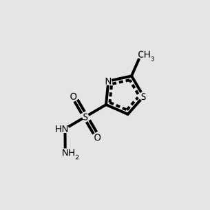 Cc1nc(S(=O)(=O)NN)cs1